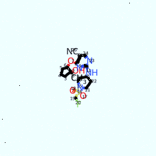 CC1(O)CCCC1Oc1nc(NC2CCN(S(=O)(=O)CF)CC2)ncc1C#N